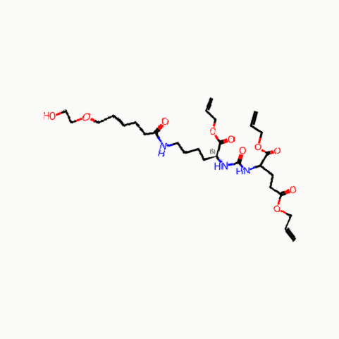 C=CCOC(=O)CCC(NC(=O)N[C@@H](CCCCNC(=O)CCCCCOCCO)C(=O)OCC=C)C(=O)OCC=C